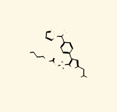 CCCCOC(=O)NS(=O)(=O)c1sc(CC(C)C)cc1-c1ccc(C(N)n2cccn2)cc1